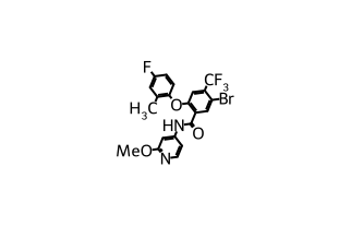 COc1cc(NC(=O)c2cc(Br)c(C(F)(F)F)cc2Oc2ccc(F)cc2C)ccn1